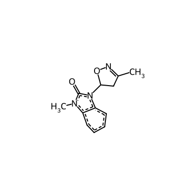 CC1=NOC(n2c(=O)n(C)c3ccccc32)C1